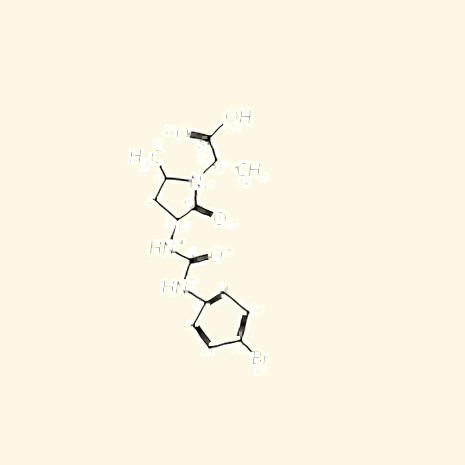 CC1C[C@H](NC(=O)Nc2ccc(Br)cc2)C(=O)N1[C@@H](C)C(=O)O